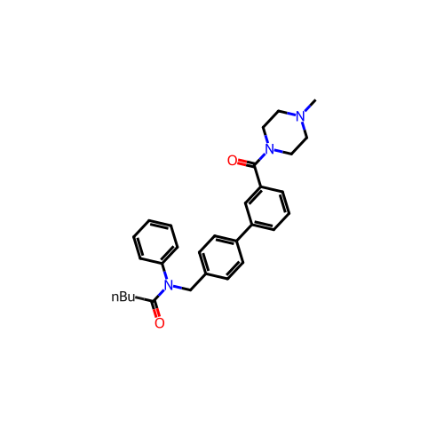 CCCCC(=O)N(Cc1ccc(-c2cccc(C(=O)N3CCN(C)CC3)c2)cc1)c1ccccc1